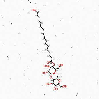 CC1OC(CO)[C@@H](O)C(O)[C@@H]1O[C@@H]1OC(CO)[C@@H](OC(=O)CCCCCCCCCCCCCCCCCO)C(O)[C@@H]1O